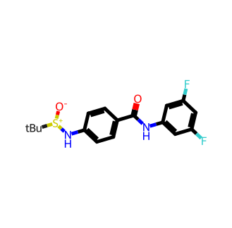 CC(C)(C)[S+]([O-])Nc1ccc(C(=O)Nc2cc(F)cc(F)c2)cc1